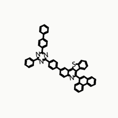 c1ccc(-c2ccc(-c3nc(-c4ccccc4)nc(-c4ccc(-c5ccc6nc(-c7cc8ccccc8c8ccccc78)c7c8ccccc8sc7c6c5)cc4)n3)cc2)cc1